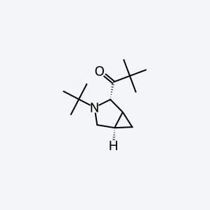 CC(C)(C)C(=O)[C@@H]1C2C[C@H]2CN1C(C)(C)C